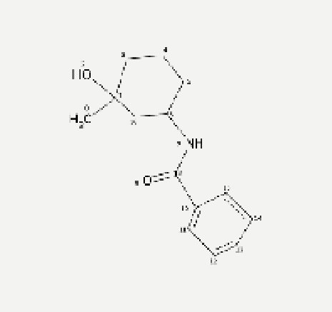 CC1(O)CCCC(NC(=O)c2ccccc2)C1